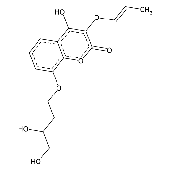 CC=COc1c(O)c2cccc(OCCC(O)CO)c2oc1=O